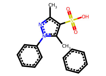 Cc1nn(-c2ccccc2)c(C)c1S(=O)(=O)O.c1ccccc1